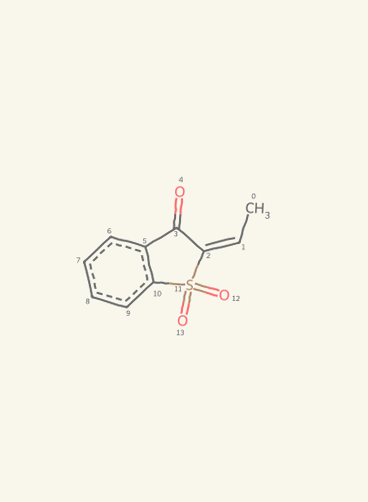 C/C=C1\C(=O)c2ccccc2S1(=O)=O